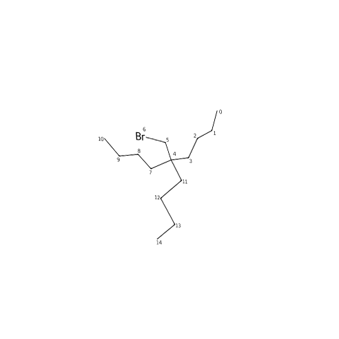 CCCCC(CBr)(CCCC)CCCC